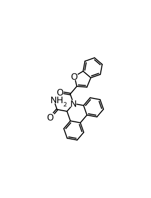 NC(=O)C1c2ccccc2-c2ccccc2N1C(=O)c1cc2ccccc2o1